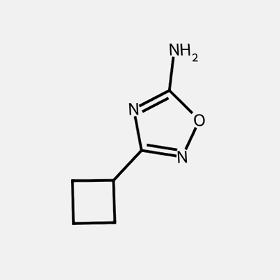 Nc1nc(C2CCC2)no1